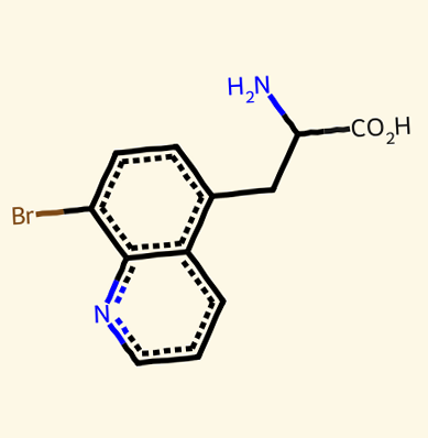 NC(Cc1ccc(Br)c2ncccc12)C(=O)O